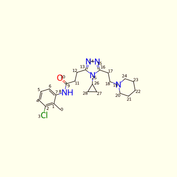 Cc1c(Cl)cccc1NC(=O)CCc1nnc(CCN2CCCCC2)n1C1CC1